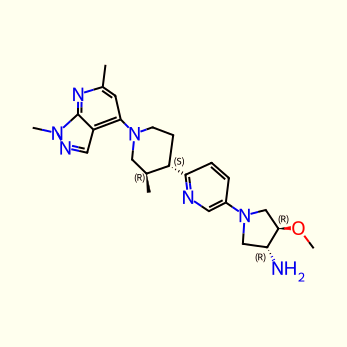 CO[C@@H]1CN(c2ccc([C@H]3CCN(c4cc(C)nc5c4cnn5C)C[C@@H]3C)nc2)C[C@H]1N